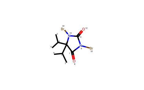 CC(C)C1(C(C)C)C(=O)N(Br)C(=O)N1Br